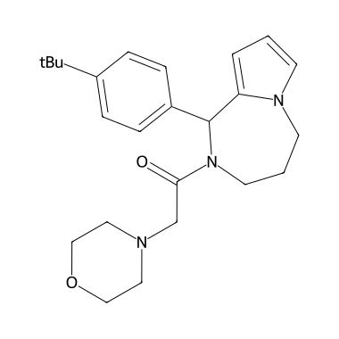 CC(C)(C)c1ccc(C2c3cccn3CCCN2C(=O)CN2CCOCC2)cc1